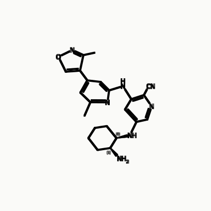 Cc1cc(-c2conc2C)cc(Nc2cc(N[C@@H]3CCCC[C@@H]3N)cnc2C#N)n1